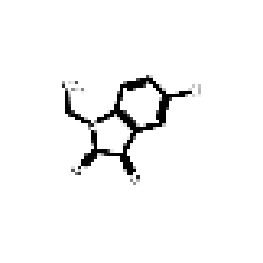 O=C(O)CN1C(=O)C(=O)c2cc(Cl)ccc21